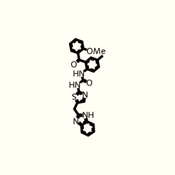 COc1ccccc1C(=O)c1cc(C)ccc1NC(=O)Nc1ncc(Cc2nc3ccccc3[nH]2)s1